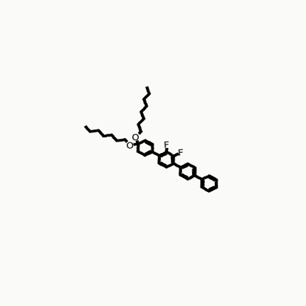 CCCCCCCCOC1(OCCCCCCC)C=CC(c2ccc(-c3ccc(-c4ccccc4)cc3)c(F)c2F)=CC1